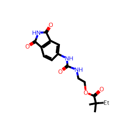 CCC(C)(C)C(=O)OCCNC(=O)Nc1ccc2c(c1)C(=O)NC2=O